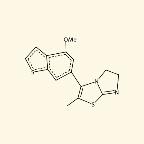 COc1cc(C2=C(C)SC3=NCCN32)cc2sccc12